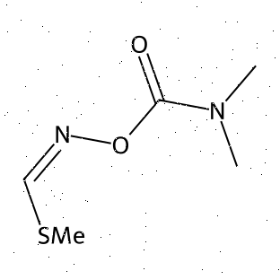 CS/C=N\OC(=O)N(C)C